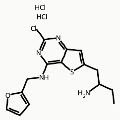 CCC(N)Cc1cc2nc(Cl)nc(NCc3ccco3)c2s1.Cl.Cl